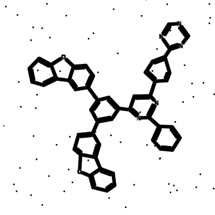 c1ccc(-c2nc(-c3ccc(-c4ncncn4)cc3)cc(-c3cc(-c4ccc5oc6ccccc6c5c4)cc(-c4ccc5oc6ccccc6c5c4)c3)n2)cc1